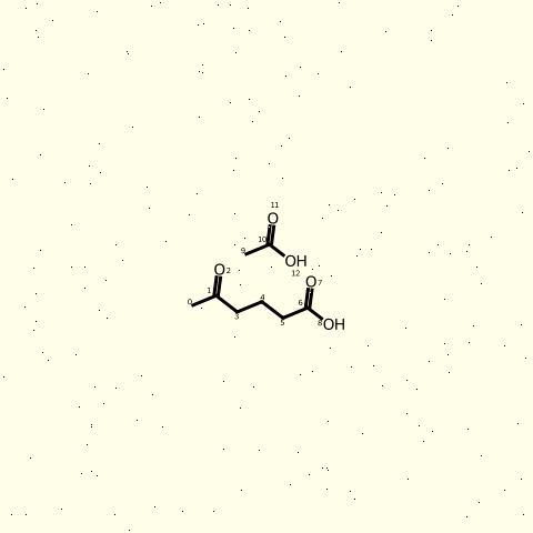 CC(=O)CCCC(=O)O.CC(=O)O